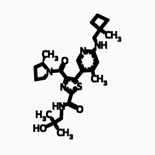 Cc1cc(NCC2(C)CCC2)ncc1-c1sc(C(=O)NCC(C)(C)O)nc1C(=O)N1CCC[C@@H]1C